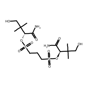 CC(C)(CO)[C@@H](OS(=O)(=O)CCCS(=O)(=O)O[C@@H](C(N)=O)C(C)(C)CO)C(N)=O